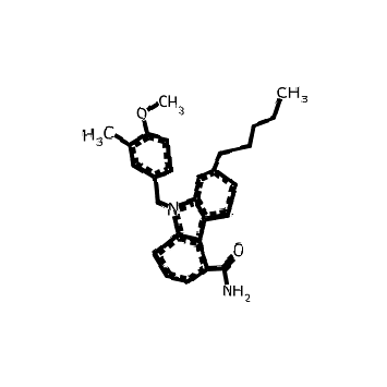 CCCCCc1c[c]c2c3c(C(N)=O)cccc3n(Cc3ccc(OC)c(C)c3)c2c1